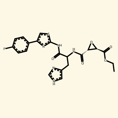 CCOC(=O)[C@@H]1O[C@H]1C(=O)NC(Cc1c[nH]cn1)C(=O)Nc1nc(-c2ccc(F)cc2)cs1